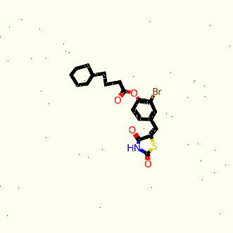 O=C(CCCC1CCCCC1)Oc1ccc(C=C2SC(=O)NC2=O)cc1Br